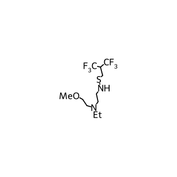 CCN(CCNSCC(C(F)(F)F)C(F)(F)F)CCOC